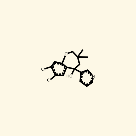 CC1(C)COc2cc(Cl)c(Cl)cc2C(O)(c2cccnc2)C1